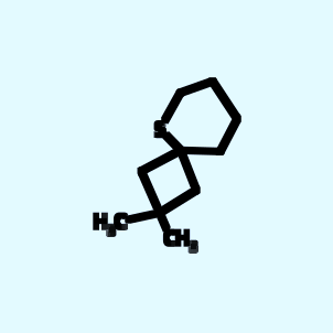 CC1(C)CC2(CCCCS2)C1